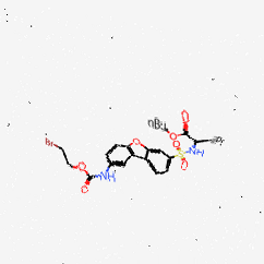 CCCCOC(=O)C(NS(=O)(=O)c1ccc2c(c1)oc1ccc(NC(=O)OCCBr)cc12)C(C)C